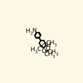 CC1(C)OC2[C@@H](O1)[C@]1(C)CC(c3ccc(N)cc3)CC2(C)O1